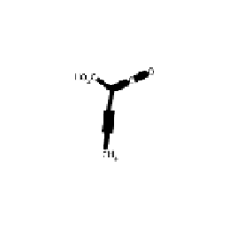 CC#CC(=C=O)C(=O)O